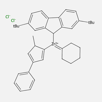 CC1C=C(c2ccccc2)C=[C]1[Zr+2](=[C]1CCCCC1)[CH]1c2cc(C(C)(C)C)ccc2-c2ccc(C(C)(C)C)cc21.[Cl-].[Cl-]